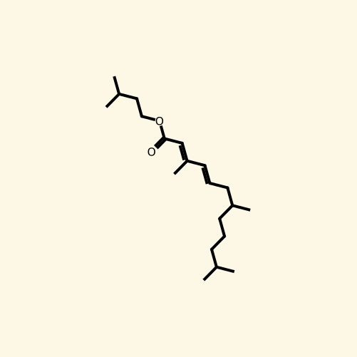 CC(/C=C/CC(C)CCCC(C)C)=C\C(=O)OCCC(C)C